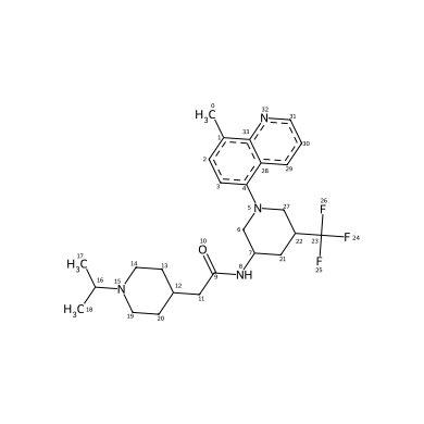 Cc1ccc(N2CC(NC(=O)CC3CCN(C(C)C)CC3)CC(C(F)(F)F)C2)c2cccnc12